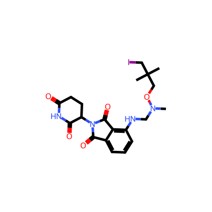 CN(CNc1cccc2c1C(=O)N(C1CCC(=O)NC1=O)C2=O)OCC(C)(C)CI